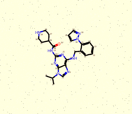 CC(C)n1cnc2c(NCc3ccccc3-n3cccn3)nc(NC(=O)C3CCNCC3)nc21